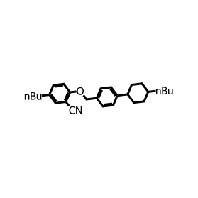 CCCCc1ccc(OCc2ccc(C3CCC(CCCC)CC3)cc2)c(C#N)c1